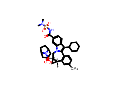 COc1ccc2c(c1)[C@@H]1C[C@]1(C(=O)N1C3CCC1CC(O)C3)Cn1c-2c(C2CCCCC2)c2ccc(C(=O)NS(=O)(=O)N(C)C)cc21